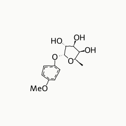 COc1ccc(O[C@H]2O[C@H](C)[C@H](O)[C@H](O)[C@H]2O)cc1